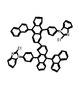 CCc1nc2ccccc2n1-c1ccc(-c2c3ccccc3c(-c3ccc4ccccc4c3)c3ccc(-c4ccc5c(-c6cc7ccccc7c7ccccc67)c6ccccc6c(-c6ccc(-n7c(CC)nc8ccccc87)cc6)c5c4)cc23)cc1